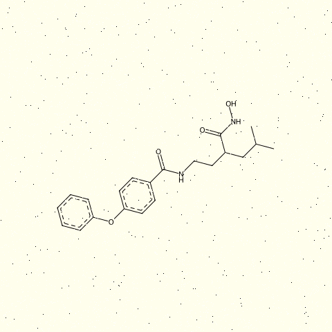 CC(C)CC(CCNC(=O)c1ccc(Oc2ccccc2)cc1)C(=O)NO